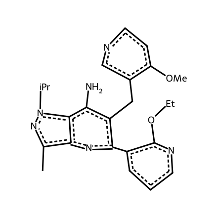 CCOc1ncccc1-c1nc2c(C)nn(C(C)C)c2c(N)c1Cc1cnccc1OC